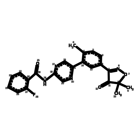 Cc1ccc(C2=NOC(C)(C)C2=O)cc1-c1cnc(NC(=O)c2ccccc2F)cn1